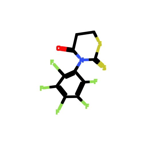 O=C1CCSC(=S)N1c1c(F)c(F)c(F)c(F)c1F